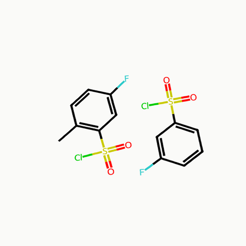 Cc1ccc(F)cc1S(=O)(=O)Cl.O=S(=O)(Cl)c1cccc(F)c1